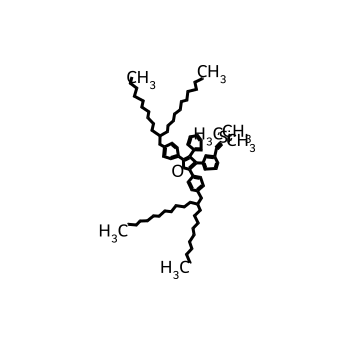 CCCCCCCCCCCCC(CCCCCCCCCC)Cc1ccc(C2=C(c3ccccc3)C(c3cccc(C#C[Si](C)(C)C)c3)=C(c3ccc(CC(CCCCCCCCCC)CCCCCCCCCCCC)cc3)C2=O)cc1